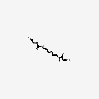 C#CCOC(=O)NCCCCCCNC(=O)C=C